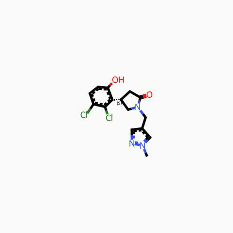 Cn1cc(CN2C[C@H](c3c(O)ccc(Cl)c3Cl)CC2=O)cn1